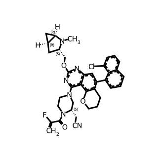 C=C(F)C(=O)N1CCN(c2nc(OC[C@@H]3C[C@H]4C[C@H]4N3C)nc3cc(-c4cccc5cccc(Cl)c45)c4c(c23)OCCC4)C[C@@H]1CC#N